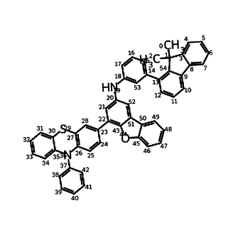 CC1(C)c2ccccc2-c2cccc(-c3cccc(Nc4cc(-c5ccc6c(c5)Sc5ccccc5N6c5ccccc5)c5oc6ccccc6c5c4)c3)c21